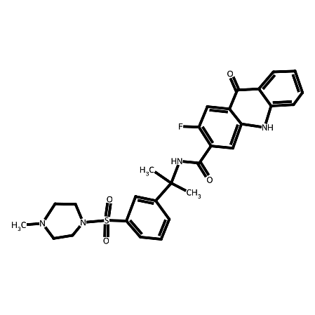 CN1CCN(S(=O)(=O)c2cccc(C(C)(C)NC(=O)c3cc4[nH]c5ccccc5c(=O)c4cc3F)c2)CC1